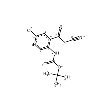 CC(C)(C)OC(=O)Nc1cnc(Cl)cc1C(=O)CC#N